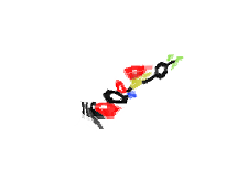 COc1ccc2oc([S+]([O-])Cc3ccc(C(F)(F)F)cc3)nc2c1